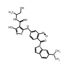 CC(CO)NC(=N)c1c(O)nsc1Nc1ccc(C(=O)n2ccc3ccc(N(C)C)cc32)c(N=O)c1